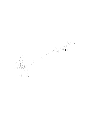 Cc1ncsc1-c1ccc(C(NC(=O)[C@@H]2C[C@@H](O)CN2C(=O)[C@H](C(C)C)N2Cc3ccccc3C2=O)OCCOCCOCCCCOCCCCOCCOCCOc2ccc(N3C(=S)N(c4ccc(C#N)c(C(F)(F)F)c4)C(=O)C3(C)C)cc2)cc1